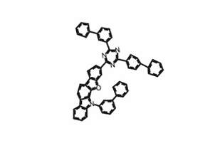 c1ccc(-c2ccc(-c3nc(-c4cccc(-c5ccccc5)c4)nc(-c4ccc5c(c4)oc4c5ccc5c6ccccc6n(-c6cccc(-c7ccccc7)c6)c54)n3)cc2)cc1